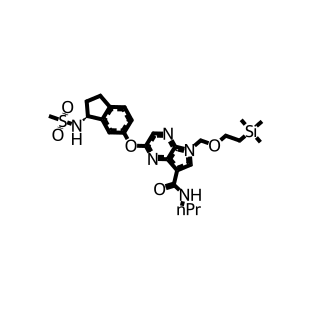 CCCNC(=O)c1cn(COCC[Si](C)(C)C)c2ncc(Oc3ccc4c(c3)[C@H](NS(C)(=O)=O)CC4)nc12